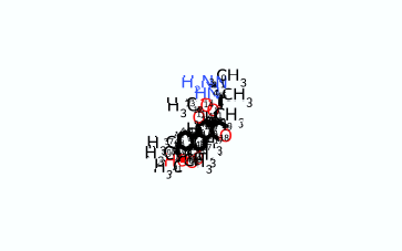 CN=C(N)NC(C)CO[C@H]1[C@H](OC(C)=O)C[C@@]23COC[C@]1(C)[C@@H]2CC[C@H]1C3=CC(=O)[C@@]2(C)[C@H](C(=O)O)[C@@](C)([C@H](C)C(C)C)CC[C@]12C